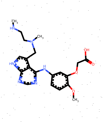 CNCCN(C)Cc1c[nH]c2ncnc(Nc3ccc(OC)c(OCC(=O)O)c3)c12